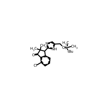 CC1(C)C(=O)c2c(Cl)cccc2C1c1ncc(CO[Si](C)(C)C(C)(C)C)[nH]1